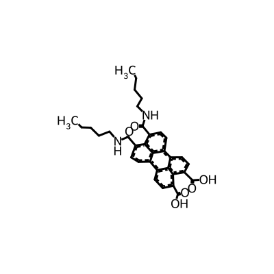 CCCCCNC(=O)c1ccc2c3ccc(C(=O)O)c4c(C(=O)O)ccc(c5ccc(C(=O)NCCCCC)c1c25)c43